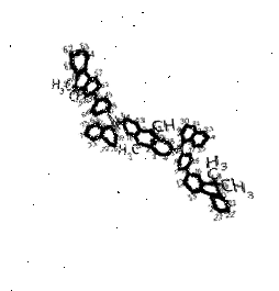 Cc1c2ccc(N(c3ccc(-c4ccc5c(c4)C(C)(C)c4ccccc4-5)cc3)c3cccc4ccccc34)cc2c(C)c2ccc(N(c3ccc(-c4ccc5c(c4)C(C)(C)c4ccccc4-5)cc3)c3cccc4ccccc34)cc12